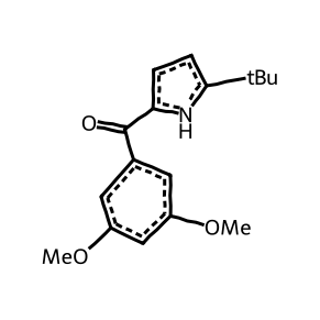 COc1cc(OC)cc(C(=O)c2ccc(C(C)(C)C)[nH]2)c1